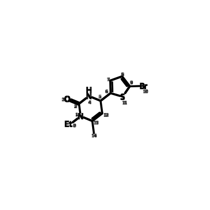 CCN1C(=O)NC(c2ccc(Br)s2)C=C1C